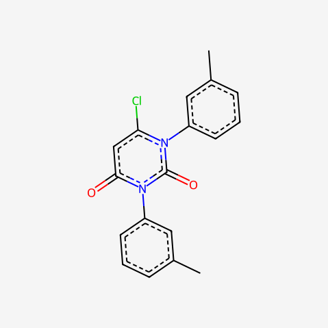 Cc1cccc(-n2c(Cl)cc(=O)n(-c3cccc(C)c3)c2=O)c1